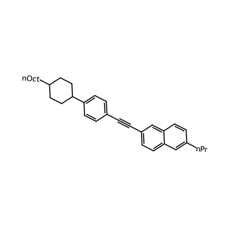 CCCCCCCCC1CCC(c2ccc(C#Cc3ccc4cc(CCC)ccc4c3)cc2)CC1